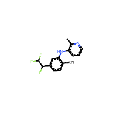 Cc1ncccc1Nc1cc(C(F)C(F)F)ccc1C#N